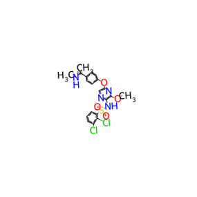 CN[C@H](C)c1ccc(Oc2cnc(NS(=O)(=O)c3cccc(Cl)c3Cl)c(OC)n2)cc1